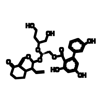 C=CC1C(O[C@@H](COC(=O)c2c(O)cc(O)cc2-c2cccc(O)c2)OC(CO)CCO)OC=C2C(=O)CCCC21